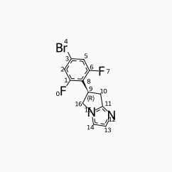 Fc1cc(Br)cc(F)c1[C@H]1Cc2nccn2C1